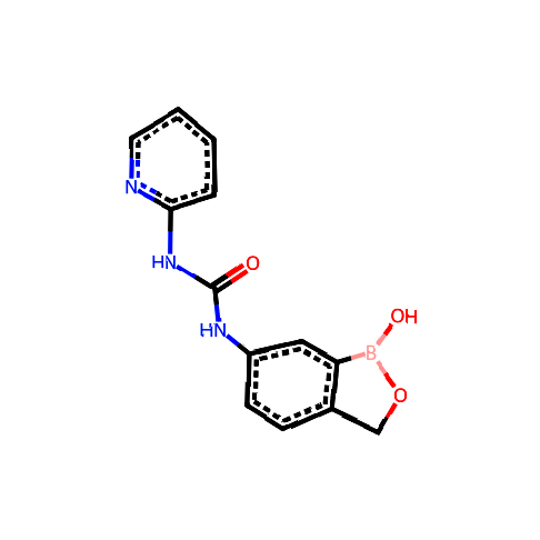 O=C(Nc1ccc2c(c1)B(O)OC2)Nc1ccccn1